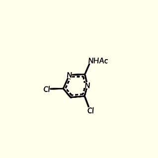 CC(=O)Nc1nc(Cl)cc(Cl)n1